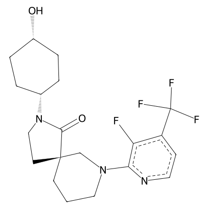 O=C1N([C@H]2CC[C@@H](O)CC2)CC[C@@]12CCCN(c1nccc(C(F)(F)F)c1F)C2